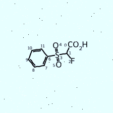 O=C(O)C(F)S(=O)(=O)c1ccccc1